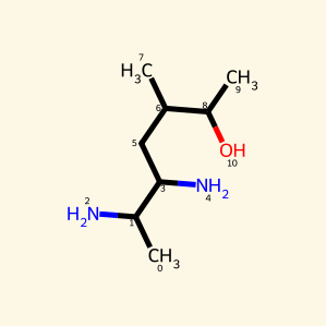 CC(N)C(N)CC(C)C(C)O